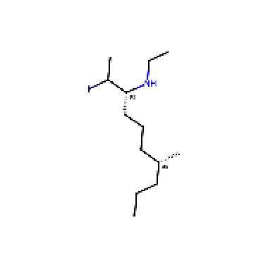 CCC[C@@H](C)CCC[C@@H](NCC)C(C)I